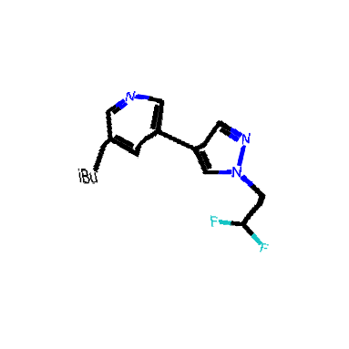 CCC(C)c1cncc(-c2cnn(CC(F)F)c2)c1